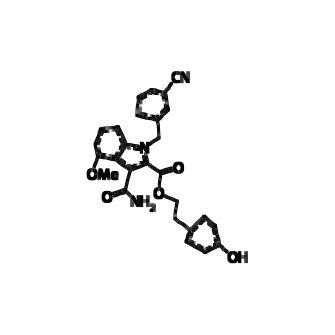 COc1cccc2c1c(C(N)=O)c(C(=O)OCCc1ccc(O)cc1)n2Cc1cccc(C#N)c1